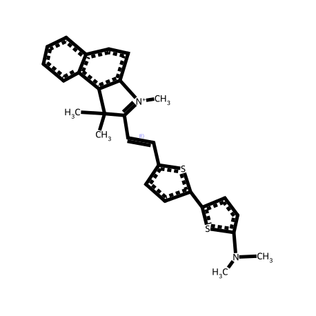 CN(C)c1ccc(-c2ccc(/C=C/C3=[N+](C)c4ccc5ccccc5c4C3(C)C)s2)s1